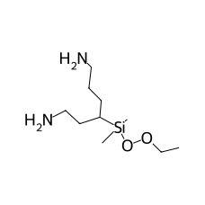 CCOO[Si](C)(C)C(CCN)CCCN